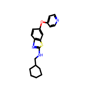 c1cc(Oc2ccc3nc(NCC4CCCCC4)sc3c2)ccn1